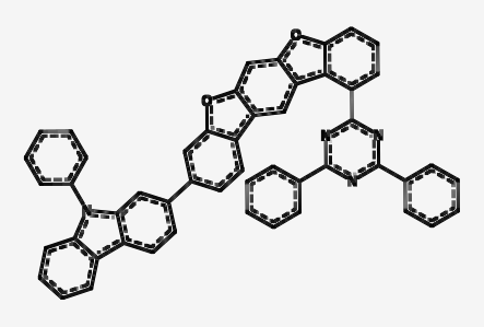 c1ccc(-c2nc(-c3ccccc3)nc(-c3cccc4oc5cc6oc7cc(-c8ccc9c%10ccccc%10n(-c%10ccccc%10)c9c8)ccc7c6cc5c34)n2)cc1